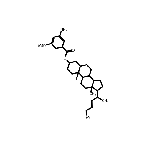 CNC1=CC(N)=CC(C(=O)OC2CCC3(I)C(CCC4C5CCC(C(C)CCCC(C)C)C5(C)CCC43)C2)C1